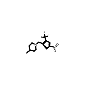 CC1CCN(Cc2ccc([N+](=O)[O-])cc2C(F)(F)F)CC1